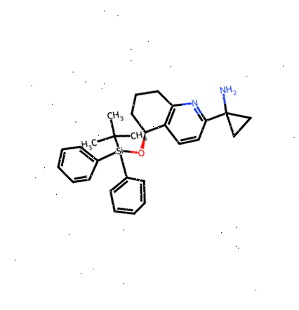 CC(C)(C)[Si](O[C@H]1CCCc2nc(C3(N)CC3)ccc21)(c1ccccc1)c1ccccc1